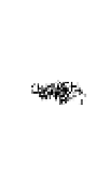 CC1(C)C(C(=O)OC2CCc3c(Cl)cccc32)C1(C(F)F)C(F)(F)F